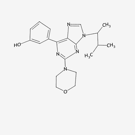 CC(C)C(C)n1cnc2c(-c3cccc(O)c3)nc(N3CCOCC3)nc21